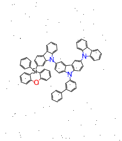 c1ccc(-c2cccc(-n3c4ccc(-n5c6ccccc6c6ccccc65)cc4c4cc(-n5c6ccccc6c6ccc([Si]7(c8ccccc8)c8ccccc8Oc8ccccc87)cc65)ccc43)c2)cc1